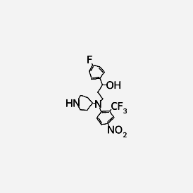 O=[N+]([O-])c1ccc(N(CCC(O)c2ccc(F)cc2)C2CCNCC2)c(C(F)(F)F)c1